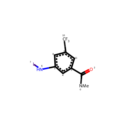 CNC(=O)c1cc(NI)cc(C(F)(F)F)c1